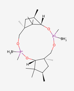 [BH3-][P+]1(C)OC[C@@]2(C)C[C@@H](C)C(C)(C)[C@@H]2O[P+]([BH3-])(C)OC[C@@]2(C)C[C@@H](C)[C@H](O1)C2(C)C